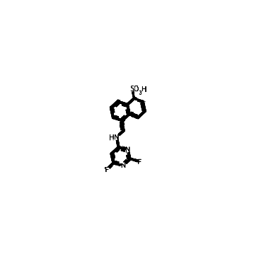 O=S(=O)(O)C1[C]=CC=c2c1cccc2=CNc1cc(F)nc(F)n1